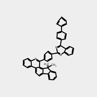 CC1(C)c2ccccc2-c2ccc3c(c(-c4ccc(-c5nc(-c6ccc(-c7ccccc7)cc6)c6ccccc6n5)cc4)nc4ccccc43)c21